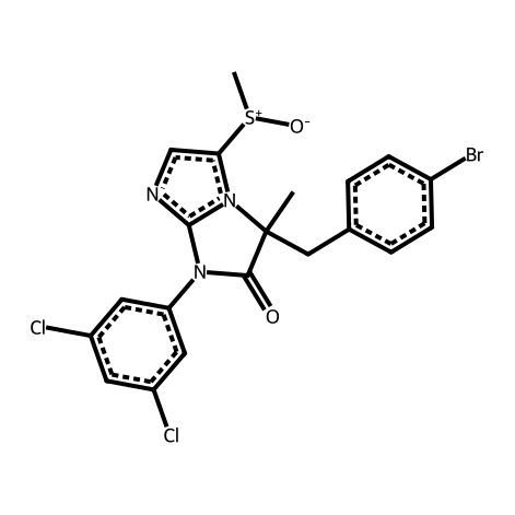 C[S+]([O-])c1cnc2n1C(C)(Cc1ccc(Br)cc1)C(=O)N2c1cc(Cl)cc(Cl)c1